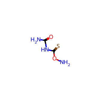 NOC(=S)NC(N)=O